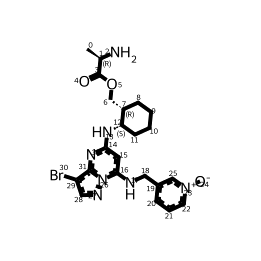 C[C@@H](N)C(=O)OC[C@@H]1CCCC[C@@H]1Nc1cc(NCc2ccc[n+]([O-])c2)n2ncc(Br)c2n1